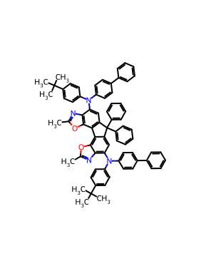 Cc1nc2c(N(c3ccc(-c4ccccc4)cc3)c3ccc(C(C)(C)C)cc3)cc3c(c2o1)-c1c(cc(N(c2ccc(-c4ccccc4)cc2)c2ccc(C(C)(C)C)cc2)c2nc(C)oc12)C3(c1ccccc1)c1ccccc1